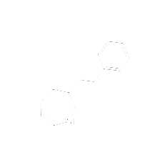 c1ccc(COC2CNCCOC2)cc1